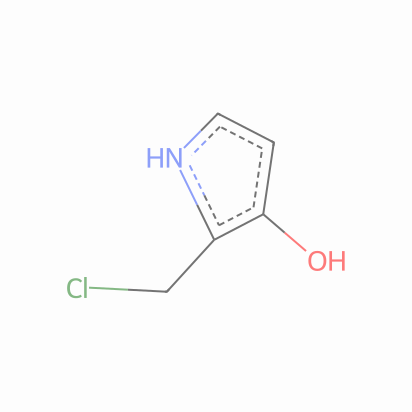 Oc1cc[nH]c1CCl